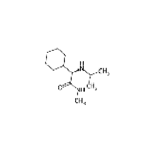 CNC(=O)[C@H](NC(C)C)C1CCCCC1